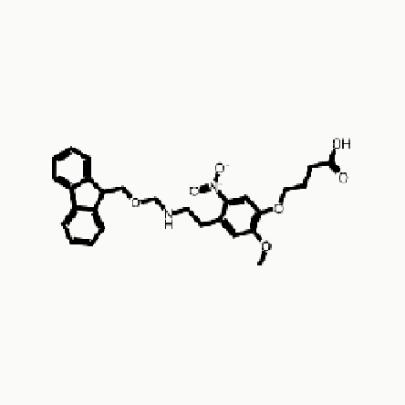 COc1cc(CCNCOCC2c3ccccc3-c3ccccc32)c([N+](=O)[O-])cc1OCCCC(=O)O